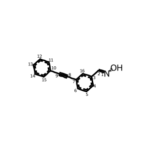 O/N=C/c1cccc(C#Cc2ccccc2)c1